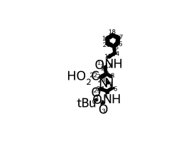 CC(C)(C)OC(=O)NC1CN2CC(C(=O)NCCc3ccccc3)=C(C(=O)O)N2C1=O